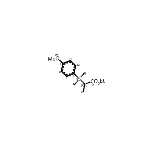 CCOC(=O)[C@@H](C)S(C)(C)c1ccc(OC)cc1